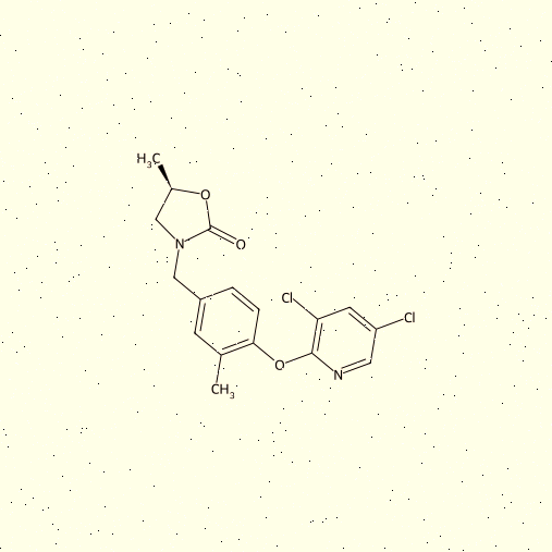 Cc1cc(CN2C[C@@H](C)OC2=O)ccc1Oc1ncc(Cl)cc1Cl